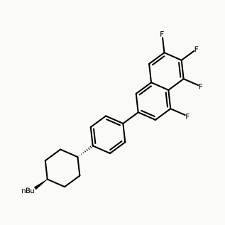 CCCC[C@H]1CC[C@H](c2ccc(-c3cc(F)c4c(F)c(F)c(F)cc4c3)cc2)CC1